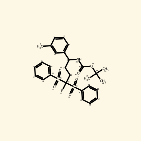 Cc1cccc(C(CCC(F)(S(=O)(=O)c2ccccc2)S(=O)(=O)c2ccccc2)NC(=O)OC(C)(C)C)c1